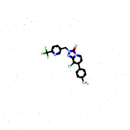 Cc1ccc(-c2ccn3c(=O)n(Cc4ccc(C(F)(F)F)nc4)nc3c2Cl)cc1